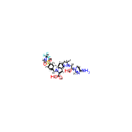 CC(Cc1ccc2c(c1)cc(C(=O)O)n2Cc1ccc(S(=O)(=O)N(C)C(F)(F)F)cc1)NCC(O)N1C=NC(N)=CC1